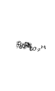 Cc1ccccc1C(=O)c1ccc(C2CN(CCC(=O)O)CCO2)cc1